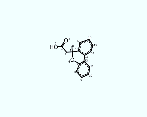 CC1(CC(=O)O)Oc2ccccc2-c2ccccc21